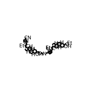 CCOC[C@@]1(O)CC[C@H]2[C@H](CC[C@@H]3[C@@H]2CC[C@]2(C)[C@@H]([C@@H](CC)Cn4ccc(C#[N+]CCOC[C@@]5(O)CC[C@H]6[C@H](CC[C@@H]7[C@@H]6CC[C@]6(C)[C@@H]([C@H](CC)Cn8ccc(C#N)n8)CC[C@@H]76)C5)n4)CC[C@@H]32)C1